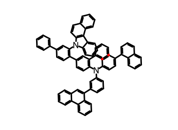 c1ccc(-c2ccc(-c3ccc(N(c4ccc(-c5cccc6ccccc56)cc4)c4cccc(-c5cc6ccccc6c6ccccc56)c4)c(-c4ccccc4)c3)c(-n3c4ccccc4c4c5ccccc5ccc43)c2)cc1